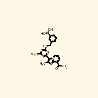 COc1nc(NCc2cccc(B(O)O)c2)nc(-c2c(C)nc3c(C(N)=O)cccn23)n1